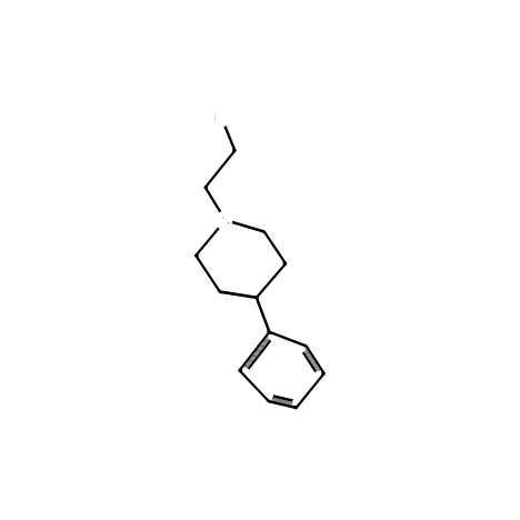 SCCN1CCC(c2ccccc2)CC1